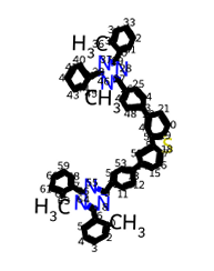 Cc1ccccc1-c1nc(-c2ccc(-c3ccc4sc5ccc(-c6ccc(-c7nc(-c8ccccc8C)nc(-c8ccccc8C)n7)cc6)cc5c4c3)cc2)nc(-c2ccccc2C)n1